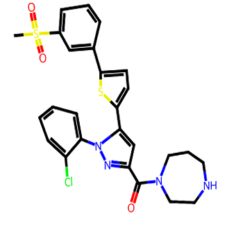 CS(=O)(=O)c1cccc(-c2ccc(-c3cc(C(=O)N4CCCNCC4)nn3-c3ccccc3Cl)s2)c1